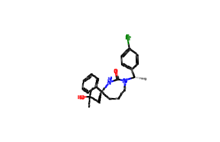 C[C@@H](c1ccc(Br)cc1)N1CCC[C@](CC(C)(C)O)(c2ccccc2)NC1=O